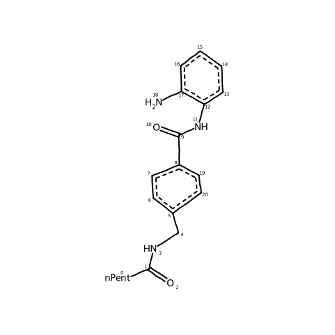 CCCCCC(=O)NCc1ccc(C(=O)Nc2ccccc2N)cc1